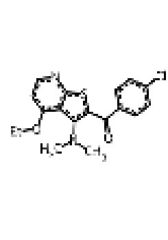 CCOc1ccnc2sc(C(=O)c3ccc(Cl)cc3)c(N(C)C)c12